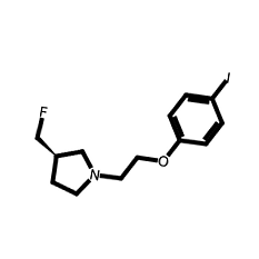 FC[C@@H]1CCN(CCOc2ccc(I)cc2)C1